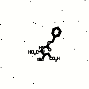 CC(C)(C)C(CC(=O)O)[C@H](NC(=O)OCc1ccccc1)C(=O)O